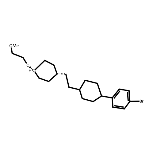 COCCC[Si@H]1CC[C@H](CCC2CCC(c3ccc(Br)cc3)CC2)CC1